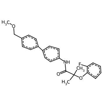 COCc1ccc(-c2ccc(NC(=O)C(C)(C)Oc3ccccc3F)cc2)cc1